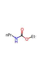 C[CH]OC(=O)NCCC